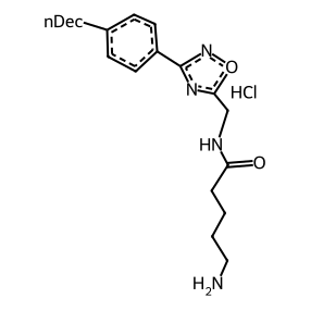 CCCCCCCCCCc1ccc(-c2noc(CNC(=O)CCCCN)n2)cc1.Cl